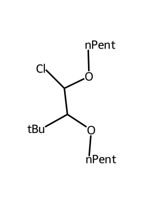 CCCCCOC(Cl)C(OCCCCC)C(C)(C)C